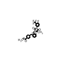 COC(=O)C1=CCC(Cc2ccccc2CN2C(=O)N(c3ccc(F)c(C(F)(F)F)c3)C(=O)C2(C)C)C=C1